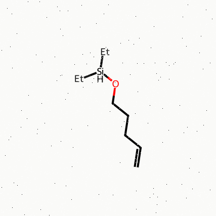 C=CCCCO[SiH](CC)CC